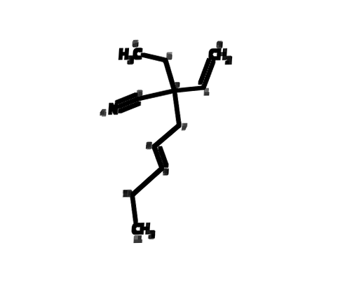 C=CC(C#N)(CC)CC=CCC